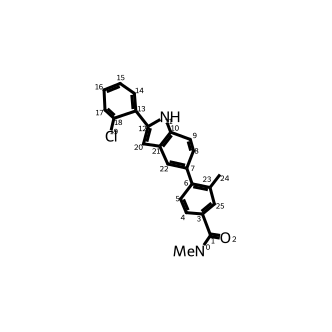 CNC(=O)c1ccc(-c2ccc3[nH]c(-c4ccccc4Cl)cc3c2)c(C)c1